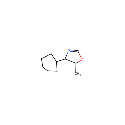 CC1O[C]=NC1C1CCCCC1